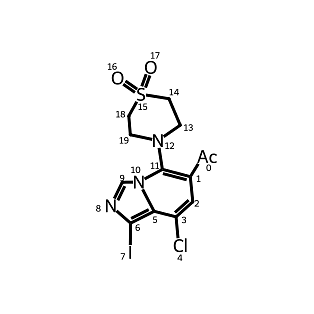 CC(=O)c1cc(Cl)c2c(I)ncn2c1N1CCS(=O)(=O)CC1